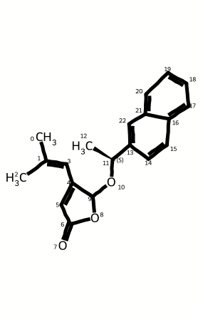 CC(C)=CC1=CC(=O)OC1O[C@@H](C)c1ccc2ccccc2c1